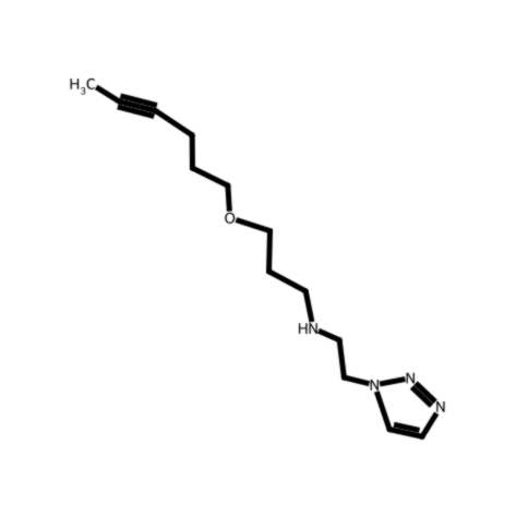 CC#CCCCOCCCNCCn1ccnn1